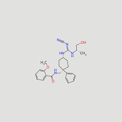 COc1ccccc1C(=O)NC[C@]1(c2ccccc2)CC[C@H](N/C(=N\C#N)N[C@@H](C)CO)CC1